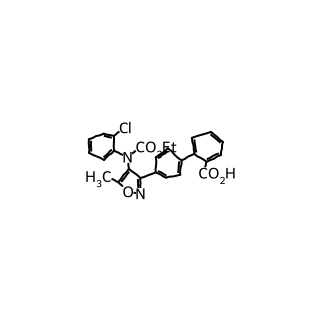 CCOC(=O)N(c1ccccc1Cl)c1c(-c2ccc(-c3ccccc3C(=O)O)cc2)noc1C